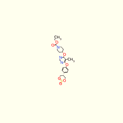 CCOC(=O)N1CCC(Oc2ncnc(Oc3ccc([C@H]4CO[S@](=O)OC4)cc3)c2C)CC1